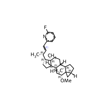 CO[C@@H]1C[C@H]2[C@@H]3CC[C@H]([C@H](C)/C=C/c4cccc(F)n4)[C@@]3(C)CC[C@@H]2[C@@]2(C)CC[C@@H]3CC312